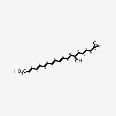 O=C(O)C=CC=CC=CC=CC=CCCC(O)CCCCC1CO1